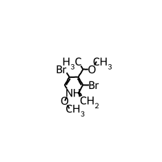 C=C/C(Br)=C(\C(Br)=C/NOC)C(C)OC